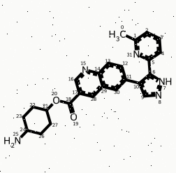 Cc1cccc(-c2[nH]ncc2-c2ccc3ncc(C(=O)OC4CCC(N)CC4)cc3c2)n1